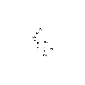 O.O=P(O)(O)O.[Fe].[LiH].[LiH].[Mn]